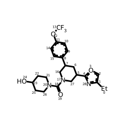 CCc1coc(C2CC(c3ccc(OC(F)(F)F)cc3)CN(C(=O)N3CCC(O)CC3)C2)n1